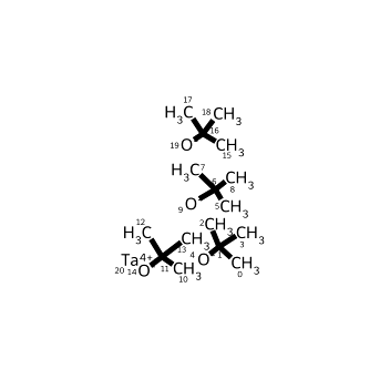 CC(C)(C)[O-].CC(C)(C)[O-].CC(C)(C)[O-].CC(C)(C)[O-].[Ta+4]